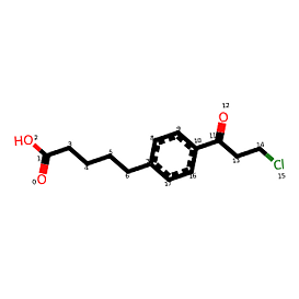 O=C(O)CCCCc1ccc(C(=O)CCCl)cc1